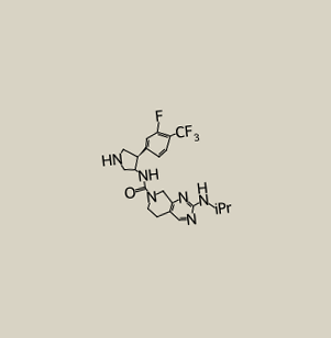 CC(C)Nc1ncc2c(n1)CN(C(=O)NC1CNC[C@H]1c1ccc(C(F)(F)F)c(F)c1)CC2